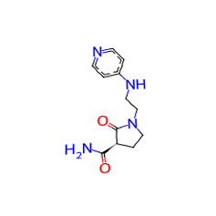 NC(=O)[C@@H]1CCN(CCNc2ccncc2)C1=O